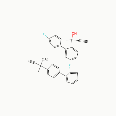 C#CC(C)(O)c1ccccc1-c1ccc(F)cc1.C#CC(C)(OC(C)=O)c1ccc(-c2ccccc2F)cc1